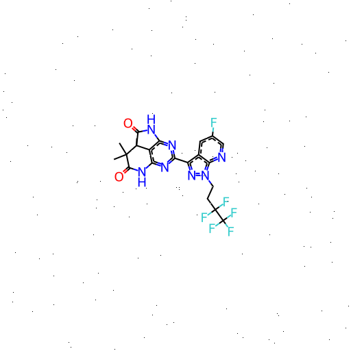 CC1(C)C(=O)Nc2nc(-c3nn(CCC(F)(F)C(F)(F)F)c4ncc(F)cc34)nc3c2C1(C)C(=O)N3